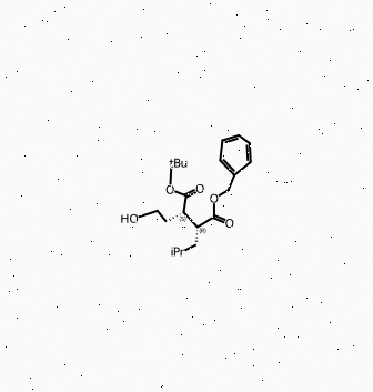 CC(C)C[C@@H](C(=O)OCc1ccccc1)[C@H](CCO)C(=O)OC(C)(C)C